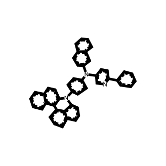 c1ccc(-c2ccc(N(c3ccc(N4c5ccc6ccccc6c5-c5cccc6cccc4c56)cc3)c3ccc4ccccc4c3)cn2)cc1